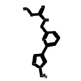 Cn1cc(-c2cccc(CNC(=O)OC(C)(C)C)n2)cn1